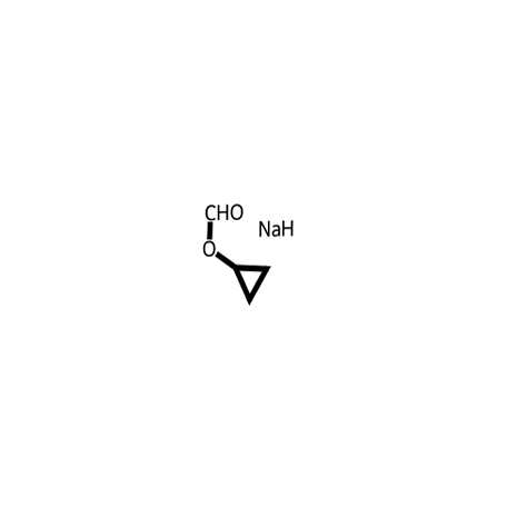 O=COC1CC1.[NaH]